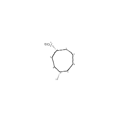 CCOC(=O)[C@@H]1CCCC[C@H](C)CC1